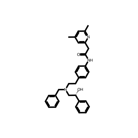 Cc1cc(C)nc(CC(=O)Nc2ccc(CCN(Cc3ccccc3)C[C@H](O)c3ccccc3)cc2)c1